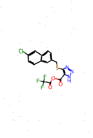 O=C(OC(=O)C(F)(F)F)c1[nH]nnc1SCc1ccc2cc(Cl)ccc2c1